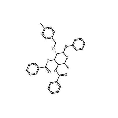 Cc1ccc(CO[C@H]2[C@H](OC(=O)c3ccccc3)[C@H](OC(=O)c3ccccc3)[C@H](C)O[C@@H]2Sc2ccccc2)cc1